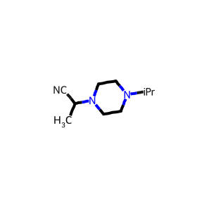 CC(C)N1CCN(C(C)C#N)CC1